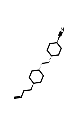 C=CCC[C@H]1CC[C@H](CC[C@H]2CC[C@H](C#N)CC2)CC1